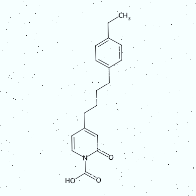 CCc1ccc(CCCCc2ccn(C(=O)O)c(=O)c2)cc1